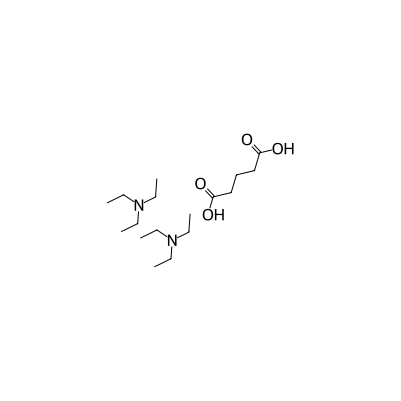 CCN(CC)CC.CCN(CC)CC.O=C(O)CCCC(=O)O